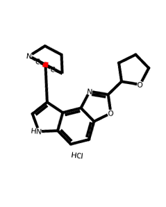 Cl.c1[nH]c2ccc3oc(C4CCCO4)nc3c2c1C1CN2CCC1CC2